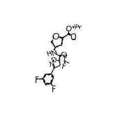 CC(C)OC(=O)C1CC(NC(=O)[C@@]2(C(C)(F)F)CC(c3cc(F)cc(F)c3)=NO2)CO1